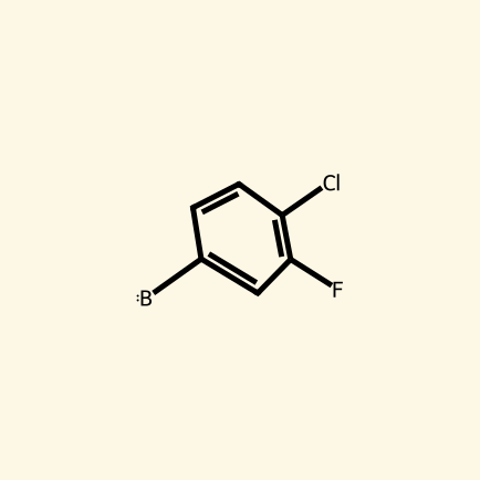 [B]c1ccc(Cl)c(F)c1